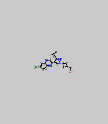 OC[C@H]1C[C@H](n2cc(-c3cnc4cc(Br)ccc4n3)c(C3CC3)n2)C1